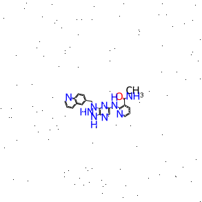 CNC(=O)c1cccnc1Nc1cnc2c(n1)N(Cc1ccc3ncccc3c1)NN2